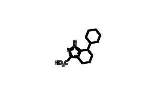 O=C(O)c1n[nH]c2c1CCCC2C1CCCCC1